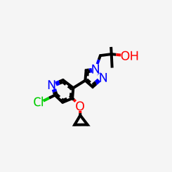 CC(C)(O)Cn1cc(-c2cnc(Cl)cc2OC2CC2)cn1